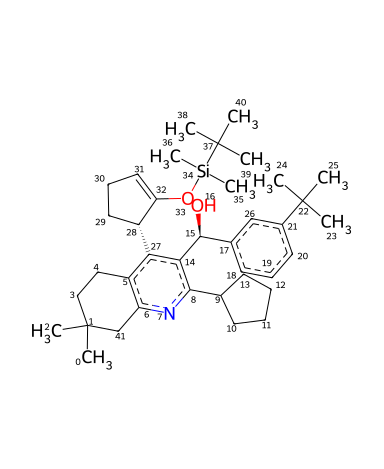 CC1(C)CCc2c(nc(C3CCCC3)c([C@@H](O)c3cccc(C(C)(C)C)c3)c2[C@@H]2CCC=C2O[Si](C)(C)C(C)(C)C)C1